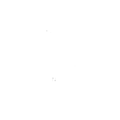 Clc1ccc(C(CCN2CCCC2)C2CC2)cc1